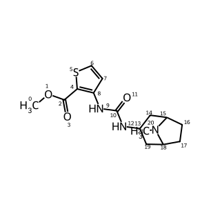 COC(=O)c1sccc1NC(=O)NC1CC2CCC(C1)N2C